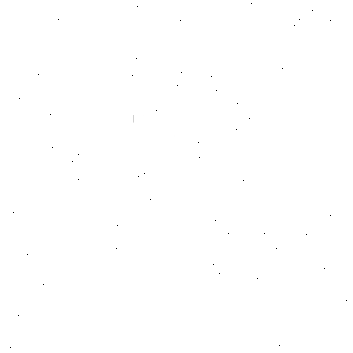 C[S+](C)CCCl.[I-]